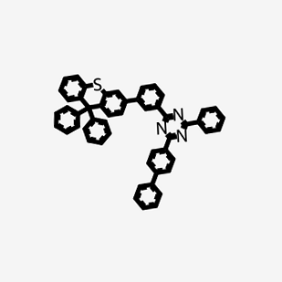 c1ccc(-c2ccc(-c3nc(-c4ccccc4)nc(-c4cccc(-c5ccc6c(c5)Sc5ccccc5C6(c5ccccc5)c5ccccc5)c4)n3)cc2)cc1